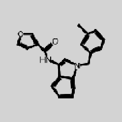 Cc1cccc(Cn2cc(NC(=O)c3ccoc3)c3ccccc32)c1